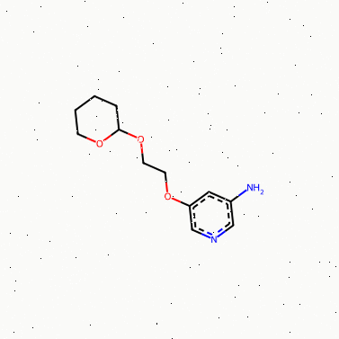 Nc1cncc(OCCOC2CCCCO2)c1